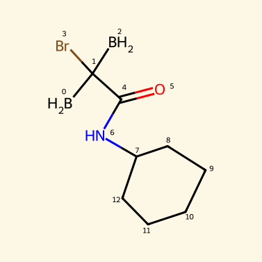 BC(B)(Br)C(=O)NC1CCCCC1